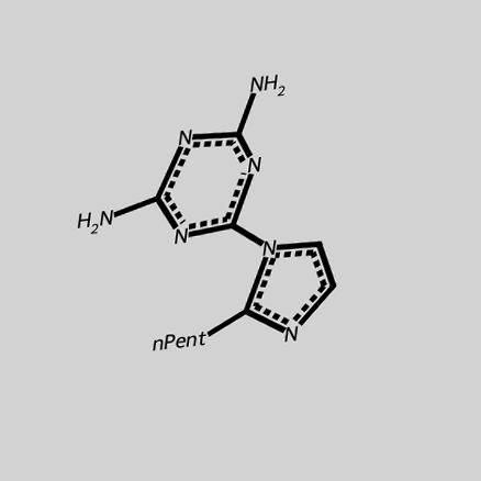 CCCCCc1nccn1-c1nc(N)nc(N)n1